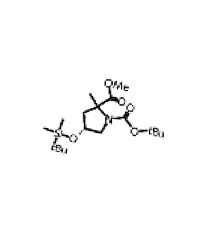 COC(=O)C1(C)C[C@@H](O[Si](C)(C)C(C)(C)C)CN1C(=O)OC(C)(C)C